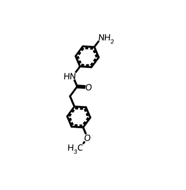 COc1ccc(CC(=O)Nc2ccc(N)cc2)cc1